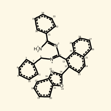 N/C(=N\C(=N/Cc1ccccc1)c1c(-c2nc3ccccc3o2)ccc2ccccc12)c1ccccc1